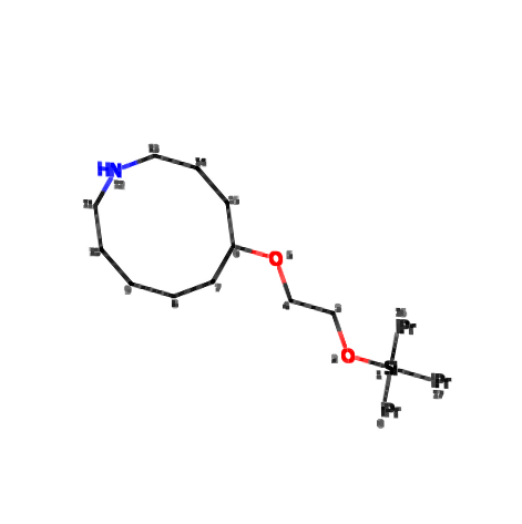 CC(C)[Si](OCCOC1CCCCCNCCC1)(C(C)C)C(C)C